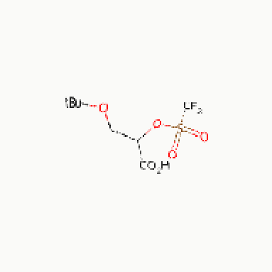 CC(C)(C)OCC(OS(=O)(=O)C(F)(F)F)C(=O)O